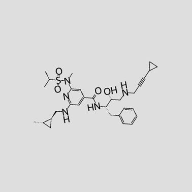 CC(C)S(=O)(=O)N(C)c1cc(C(=O)N[C@@H](Cc2ccccc2)[C@H](O)CNCC#CC2CC2)cc(NC[C@H]2C[C@@H]2C)n1